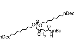 CCCCCCCCCCCCCCCCCCOP(=O)(CN(C)CCC(=O)NCCCC)OCCCCCCCCCCCCCCCCCC